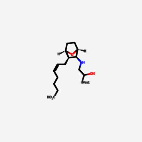 CCCCCC(O)CN[C@H]1[C@@H](C/C=C\CCCC(=O)O)[C@H]2CC[C@@H]1O2